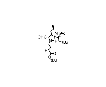 C=CCC1[C@@H](C=O)N(CCNC(=O)OC(C)(C)C)CC1(NC(C)=O)C(=O)NC(C)(C)C